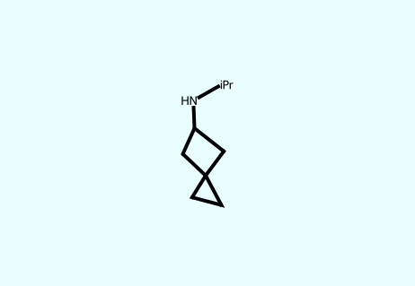 CC(C)NC1CC2(CC2)C1